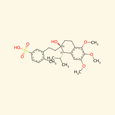 COc1cc2c(c(OC)c1OC)CC[C@@](O)(CCc1cc(S(=O)(=O)O)ccc1C)[C@H]2C(C)C